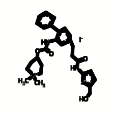 C[N+]1(C)CCC(OC(=O)Nc2cc(CCC(=O)Nc3ccc(CO)s3)ccc2-c2ccccc2)CC1.[I-]